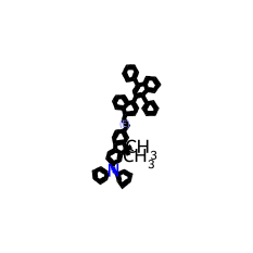 CC1(C)c2cc(/C=C/c3ccc(-c4cc(-c5ccccc5)c5ccccc5c4-c4ccccc4)c4ccccc34)ccc2-c2ccc(N(c3ccccc3)c3ccccc3)cc21